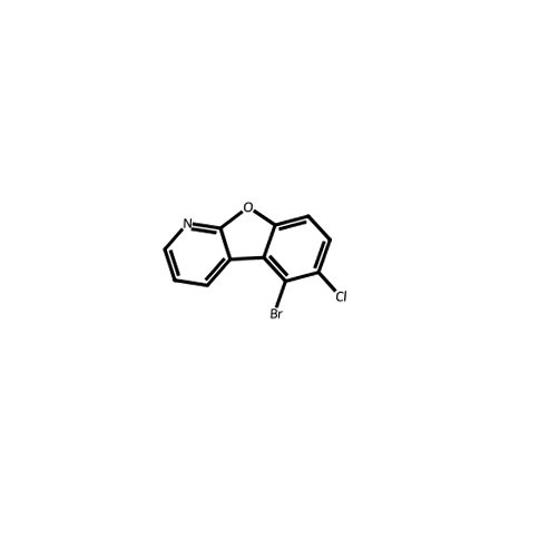 Clc1ccc2oc3ncccc3c2c1Br